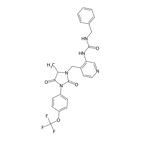 CC1C(=O)N(c2ccc(OC(F)(F)F)cc2)C(=O)N1Cc1ccncc1NC(=O)NCc1ccccc1